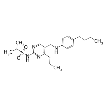 CCCCc1ccc(NCc2cnc(NS(=O)(=O)C(C)C)nc2CCC)cc1